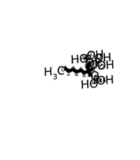 CCCCCCCC(COP(O)O)(COP(O)O)COP(O)O